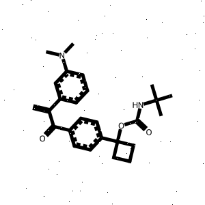 C=C(C(=O)c1ccc(C2(OC(=O)NC(C)(C)C)CCC2)cc1)c1cccc(N(C)C)c1